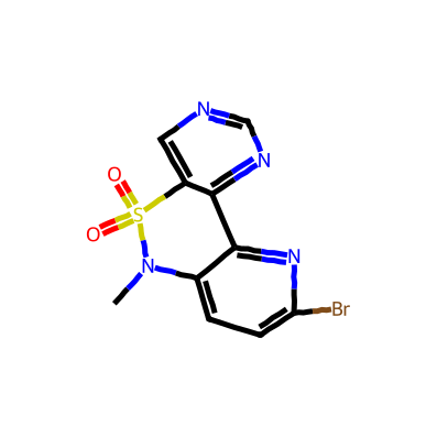 CN1c2ccc(Br)nc2-c2ncncc2S1(=O)=O